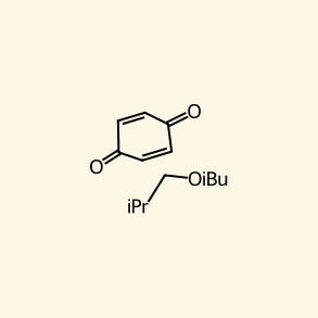 CC(C)COCC(C)C.O=C1C=CC(=O)C=C1